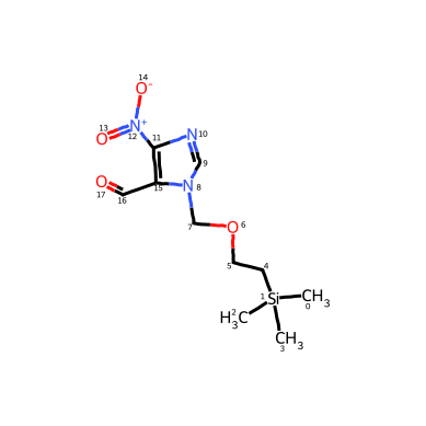 C[Si](C)(C)CCOCn1cnc([N+](=O)[O-])c1C=O